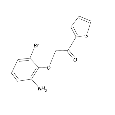 Nc1cccc(Br)c1OCC(=O)c1cccs1